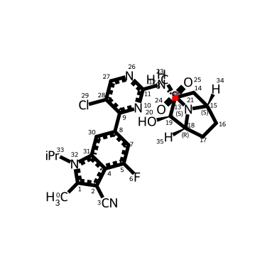 Cc1c(C#N)c2c(F)cc(-c3nc(N[C@@H]4C[C@@H]5CC[C@H]([C@H]4O)N5S(C)(=O)=O)ncc3Cl)cc2n1C(C)C